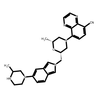 CC1CN(c2ccc3cn(C[C@H]4CN(c5ccc(C#N)c6nccnc56)C[C@@H](C)O4)cc3c2)CCN1